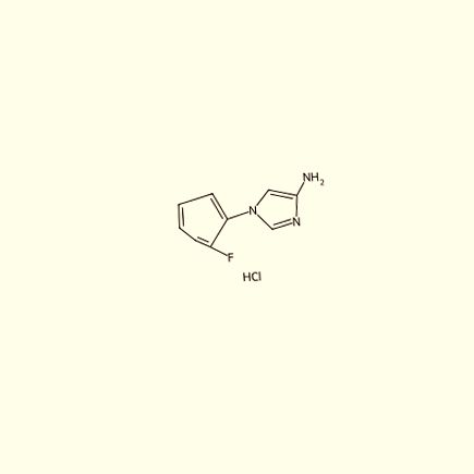 Cl.Nc1cn(-c2ccccc2F)cn1